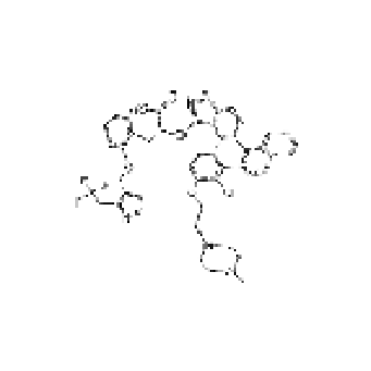 Cc1c(-c2c(-c3cccc4ccccc34)ncc3snc(O[C@H](Cc4ccccc4OCc4ccnn4CC(F)(F)F)C(=O)O)c23)ccc(OCCN2CCN(C)CC2)c1Cl